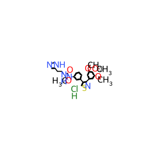 COc1cc(-c2nscc2-c2cccc(N(OC)C(=O)NCCc3cnc[nH]3)c2)cc(OC)c1OC.Cl